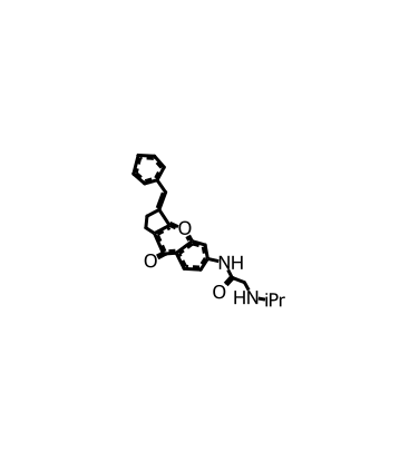 CC(C)NCC(=O)Nc1ccc2c(=O)c3c(oc2c1)C(=Cc1ccccc1)CC3